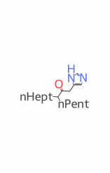 CCCCCCCC(CCCCC)C(=O)Cc1cnc[nH]1